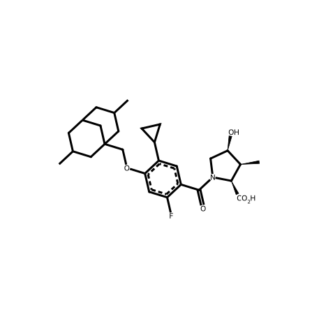 CC1CC2CC(C)CC(COc3cc(F)c(C(=O)N4C[C@@H](O)[C@@H](C)[C@H]4C(=O)O)cc3C3CC3)(C1)C2